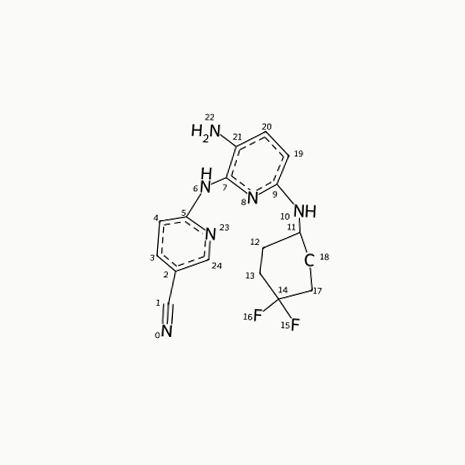 N#Cc1ccc(Nc2nc(NC3CCC(F)(F)CC3)ccc2N)nc1